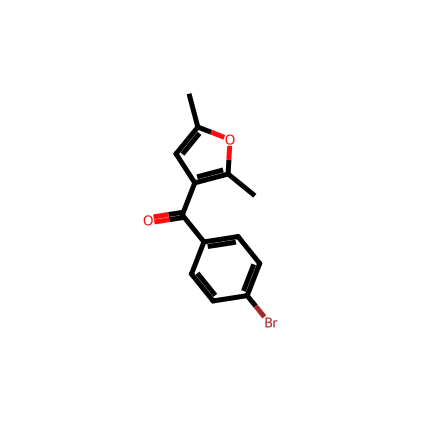 Cc1cc(C(=O)c2ccc(Br)cc2)c(C)o1